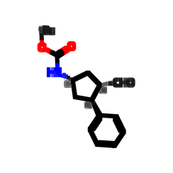 CC(C)(C)OC(=O)N[C@H]1C[C@H](c2ccccc2)[C@@H](C=O)C1